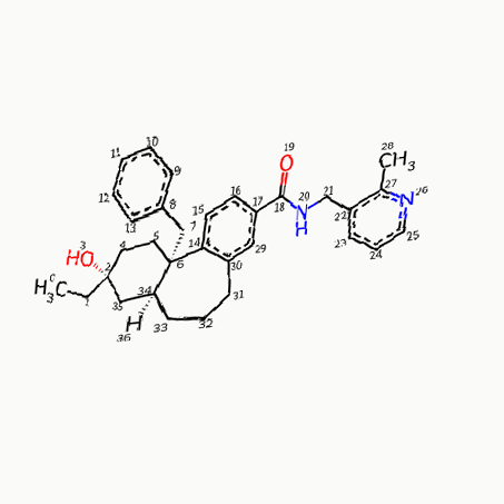 CC[C@@]1(O)CC[C@@]2(Cc3ccccc3)c3ccc(C(=O)NCc4cccnc4C)cc3CCC[C@H]2C1